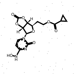 O=C1O[C@@H]2[C@H](O1)[C@@H](CCOC(=O)C1CC1)O[C@H]2n1ccc(NO)nc1=O